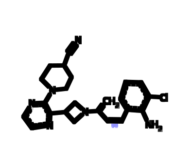 C=C(/C=C\c1cccc(Cl)c1N)N1CC(c2nccnc2N2CCC(C#N)CC2)C1